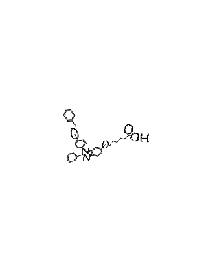 O=C(O)CCCCCOc1ccc2nc(-c3ccccc3)n(-c3ccc(OCc4ccccc4)cc3)c2c1